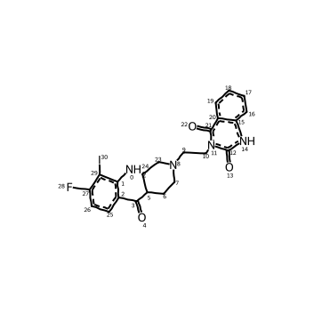 Nc1c(C(=O)C2CCN(CCn3c(=O)[nH]c4ccccc4c3=O)CC2)ccc(F)c1I